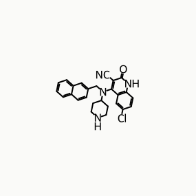 N#Cc1c(N(Cc2ccc3ccccc3c2)C2CCNCC2)c2cc(Cl)ccc2[nH]c1=O